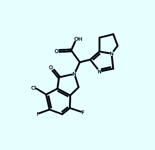 O=C(O)C(c1ncn2c1CCC2)N1Cc2c(F)cc(I)c(Cl)c2C1=O